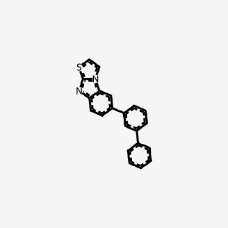 c1ccc(-c2cccc(-c3ccc4nc5sccn5c4c3)c2)cc1